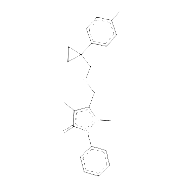 Cn1c(CNCC2(c3ccc(Cl)cc3)CC2)c(Br)c(=O)n1-c1ccccc1